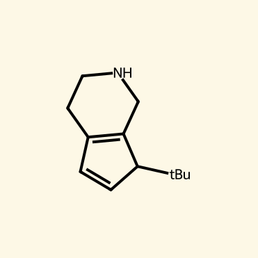 CC(C)(C)C1C=CC2=C1CNCC2